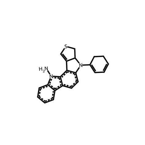 Nn1c2ccccc2c2ccc3c(c21)C1=CSCC1N3C1=CC=CCC1